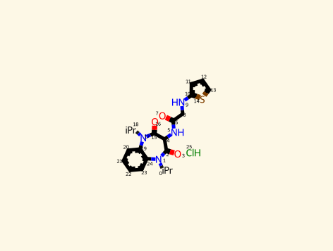 CC(C)N1C(=O)C(NC(=O)CNc2cccs2)C(=O)N(C(C)C)c2ccccc21.Cl